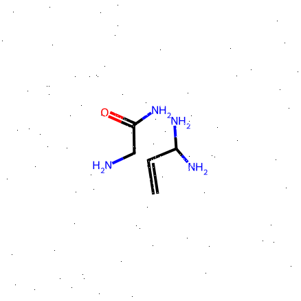 C=CC(N)N.NCC(N)=O